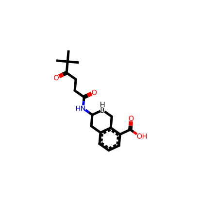 CC(C)(C)C(=O)CCC(=O)NC1BCc2c(cccc2C(=O)O)C1